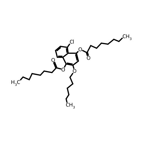 CCCCCCCC(=O)Oc1c(OCCCCCC)cc(OC(=O)CCCCCCC)c2c(Cl)cccc12